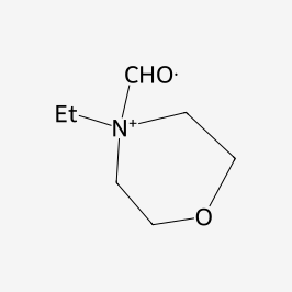 CC[N+]1([C]=O)CCOCC1